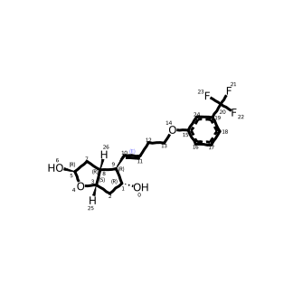 O[C@@H]1C[C@@H]2O[C@@H](O)C[C@@H]2[C@H]1/C=C/CCOc1cccc(C(F)(F)F)c1